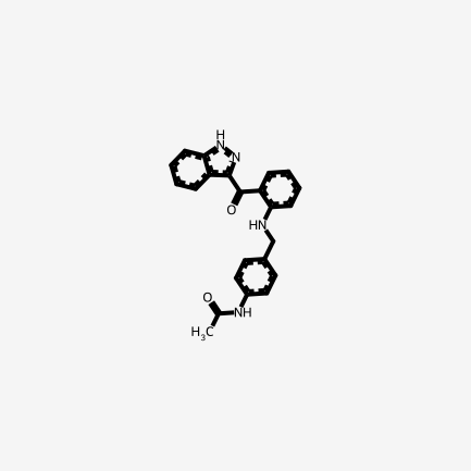 CC(=O)Nc1ccc(CNc2ccccc2C(=O)c2n[nH]c3ccccc23)cc1